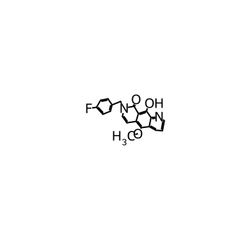 COc1c2cccnc2c(O)c2c(=O)n(Cc3ccc(F)cc3)ccc12